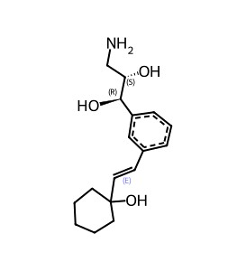 NC[C@H](O)[C@H](O)c1cccc(/C=C/C2(O)CCCCC2)c1